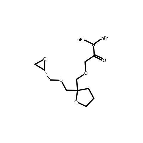 CCCN(CCC)C(=O)COCC1(COC[C@@H]2CO2)CCCO1